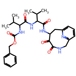 CC(C)C(NC(=O)OCc1ccccc1)C(=O)NC(C(=O)NC1Cc2cccc(n2)CNC(=O)C1=O)C(C)C